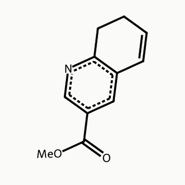 COC(=O)c1cnc2c(c1)C=CCC2